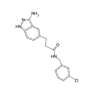 Nc1n[nH]c2ccc(CCC(=O)NCc3cccc(Cl)c3)cc12